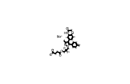 Cc1nn(CC(F)(F)COC(=O)CCC(=O)[O-])c(-c2ccc(F)cc2)c1-c1ccc2c(c1)NC(=O)CO2.[Na+]